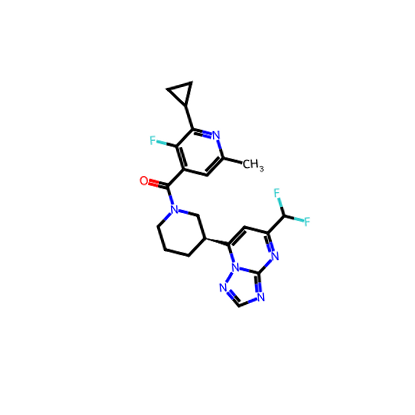 Cc1cc(C(=O)N2CCC[C@H](c3cc(C(F)F)nc4ncnn34)C2)c(F)c(C2CC2)n1